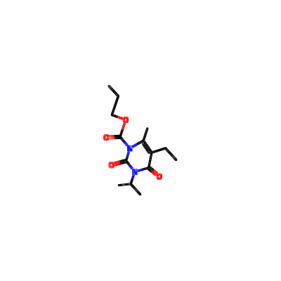 CCCOC(=O)n1c(C)c(CC)c(=O)n(C(C)C)c1=O